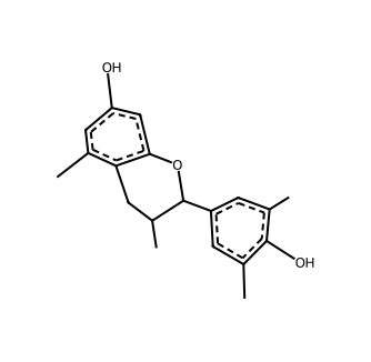 Cc1cc(C2Oc3cc(O)cc(C)c3CC2C)cc(C)c1O